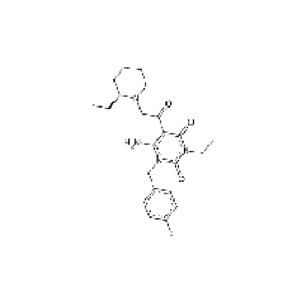 CC[C@H]1CCCCN1CC(=O)c1c(N)n(Cc2ccc(F)cc2)c(=O)n(CC)c1=O